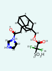 O=C(CC12CC3CC(CC(COC(=O)C(F)(F)S(=O)(=O)O)(C3)C1)C2)n1ccnc1